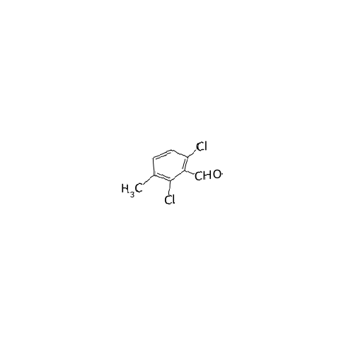 Cc1ccc(Cl)c([C]=O)c1Cl